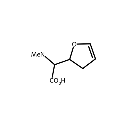 CNC(C(=O)O)C1CC=CO1